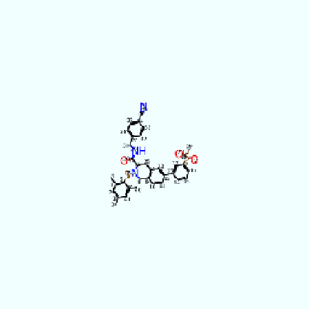 Cc1cc(C)c(SN2Cc3ccc(-c4cccc(S(C)(=O)=O)c4)cc3CC2C(=O)NCc2ccc(C#N)cc2)c(C)c1